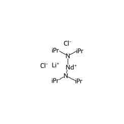 CC(C)[N]([Nd+][N](C(C)C)C(C)C)C(C)C.[Cl-].[Cl-].[Li+]